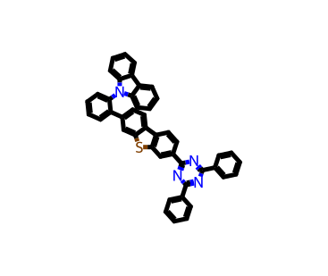 c1ccc(-c2nc(-c3ccccc3)nc(-c3ccc4c(c3)sc3cc(-c5ccccc5-n5c6ccccc6c6ccccc65)ccc34)n2)cc1